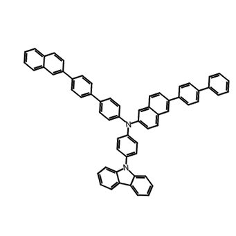 c1ccc(-c2ccc(-c3ccc4cc(N(c5ccc(-c6ccc(-c7ccc8ccccc8c7)cc6)cc5)c5ccc(-n6c7ccccc7c7ccccc76)cc5)ccc4c3)cc2)cc1